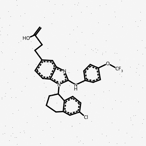 C=C(O)CCc1ccc2c(c1)nc(Nc1ccc(OC(F)(F)F)cc1)n2C1CCCc2cc(Cl)ccc21